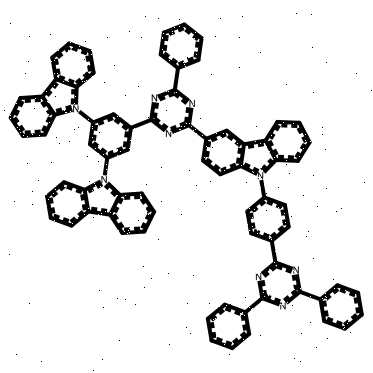 c1ccc(-c2nc(-c3ccccc3)nc(-c3ccc(-n4c5ccccc5c5cc(-c6nc(-c7ccccc7)nc(-c7cc(-n8c9ccccc9c9ccccc98)cc(-n8c9ccccc9c9ccccc98)c7)n6)ccc54)cc3)n2)cc1